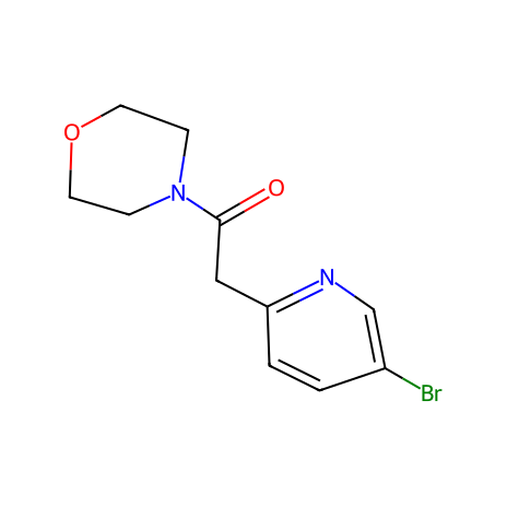 O=C(Cc1ccc(Br)cn1)N1CCOCC1